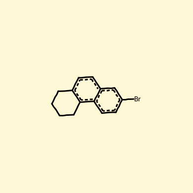 Brc1ccc2c3c(ccc2c1)CCCC3